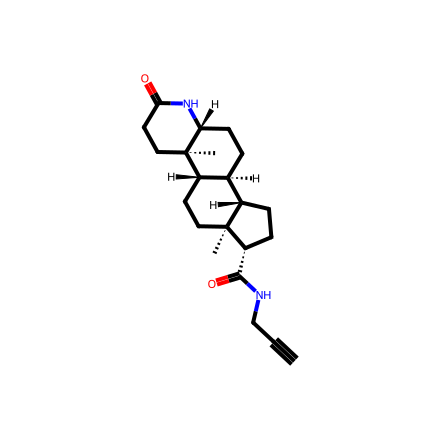 C#CCNC(=O)[C@H]1CC[C@H]2[C@@H]3CC[C@H]4NC(=O)CC[C@]4(C)[C@H]3CC[C@]12C